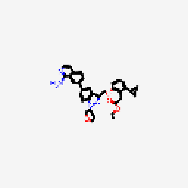 CCOC(=O)Cc1c(OCc2nn(C3CCOC3)c3ccc(-c4ccc5ccnc(N)c5c4)cc23)cccc1C1CC1